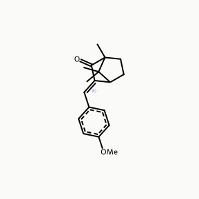 COc1ccc(/C=C2/C(=O)C3(C)CCC2C3(C)C)cc1